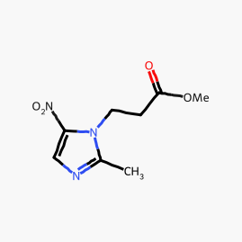 COC(=O)CCn1c([N+](=O)[O-])cnc1C